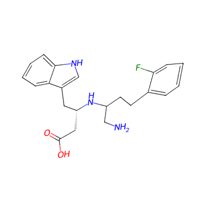 NCC(CCc1ccccc1F)N[C@H](CC(=O)O)Cc1c[nH]c2ccccc12